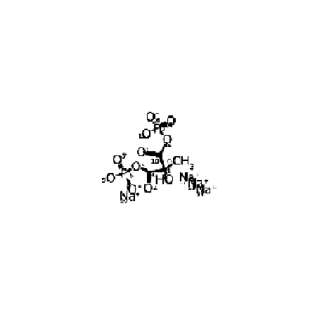 CC(O)(C(=O)OP(=O)([O-])[O-])C(=O)OP(=O)([O-])[O-].[Na+].[Na+].[Na+].[Na+]